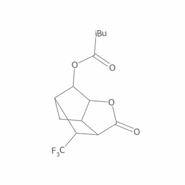 CCC(C)C(=O)OC1C2CC3C1OC(=O)C3C2C(F)(F)F